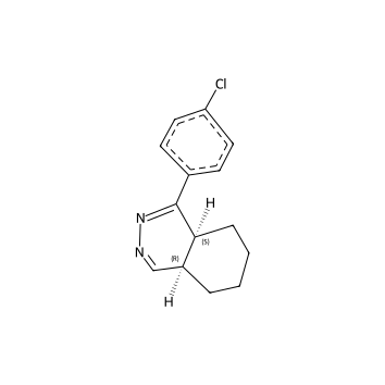 Clc1ccc(C2=NN=C[C@@H]3CCCC[C@H]23)cc1